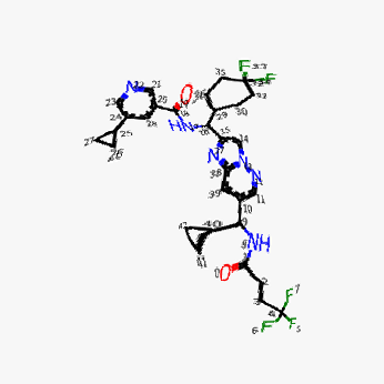 O=C(CCC(F)(F)F)NC(c1cnn2cc([C@@H](NC(=O)c3cncc(C4CC4)c3)C3CCC(F)(F)CC3)nc2c1)C1CC1